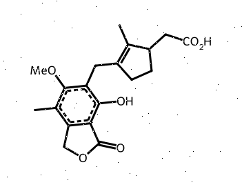 COc1c(C)c2c(c(O)c1CC1=C(C)C(CC(=O)O)CC1)C(=O)OC2